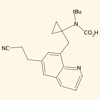 CC(C)(C)N(C(=O)O)C1(Cc2cc(CCC#N)cc3cccnc23)CC1